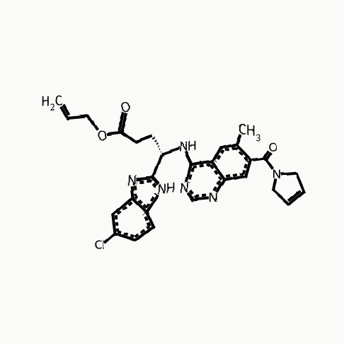 C=CCOC(=O)CC[C@H](Nc1ncnc2cc(C(=O)N3CC=CC3)c(C)cc12)c1nc2cc(Cl)ccc2[nH]1